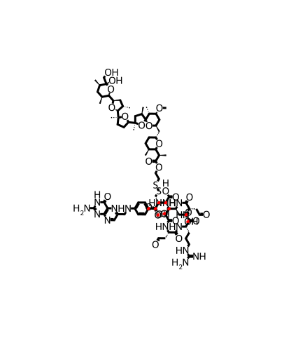 CO[C@@H]1C[C@@H](C[C@H]2CC[C@H](C)C([C@@H](C)C(=O)OCCSSC[C@H](NC(=O)[C@H](CC(=O)O)NC(=O)[C@H](CC=O)NC(=O)[C@H](CCCNC(=N)N)NC(=O)[C@H](CC=O)NC(=O)CC[C@H](NC(=O)c3ccc(NCc4cnc5nc(N)[nH]c(=O)c5n4)cc3)C(=O)O)C(=O)O)O2)O[C@]2(O[C@@](C)(C3CC[C@@](C)([C@@H]4O[C@@H]([C@@H]5O[C@@](O)(CO)[C@H](C)C[C@@H]5C)C[C@@H]4C)O3)C[C@H]2C)[C@@H]1C